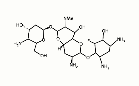 CNC1C(O[C@@H]2C[C@@H](O)C(N)C(CO)O2)O[C@H]2C[C@H](N)C(OC3C(N)CC(N)C(O)C3F)OC2C1O